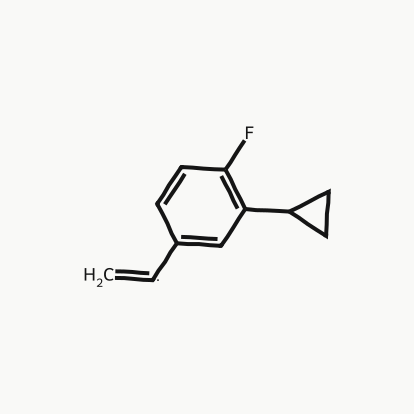 C=[C]c1ccc(F)c(C2CC2)c1